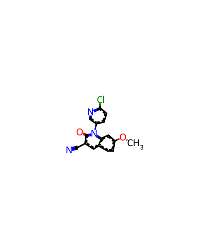 COc1ccc2cc(C#N)c(=O)n(-c3ccc(Cl)nc3)c2c1